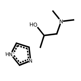 CC(O)CN(C)C.c1c[nH]cn1